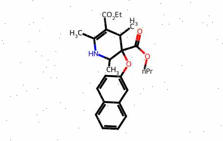 CCCOC(=O)C1(Oc2ccc3ccccc3c2)C(C)NC(C)=C(C(=O)OCC)C1C